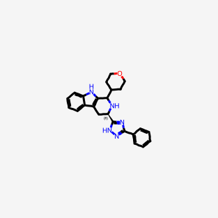 c1ccc(-c2n[nH]c([C@H]3Cc4c([nH]c5ccccc45)C(C4CCOCC4)N3)n2)cc1